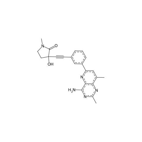 Cc1nc(N)c2nc(-c3cccc(C#CC4(O)CCN(C)C4=O)c3)cc(C)c2n1